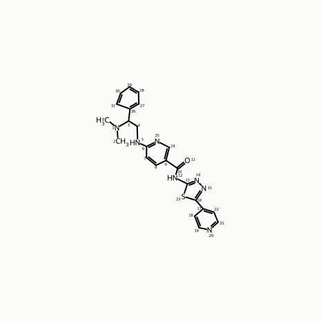 CN(C)C(CNc1ccc(C(=O)Nc2nnc(-c3ccncc3)s2)cn1)c1ccccc1